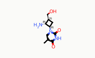 Cc1cn([C@@H]2C[C@H](CO)[C@H]2N)c(=O)[nH]c1=O